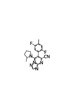 Cc1cc(F)c(-c2c(C#N)nc3ncnn3c2N2CCCC2C)cc1F